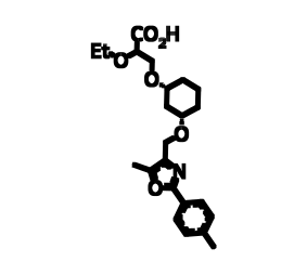 CCOC(CO[C@@H]1CCC[C@H](OCc2nc(-c3ccc(C)cc3)oc2C)C1)C(=O)O